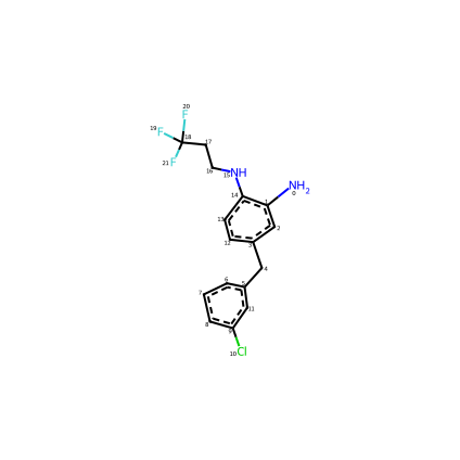 Nc1cc(Cc2cccc(Cl)c2)ccc1NCCC(F)(F)F